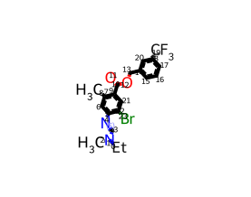 CCN(C)/C=N/c1cc(C)c(C(=O)OCc2cccc(C(F)(F)F)c2)cc1Br